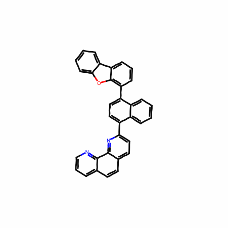 c1cnc2c(c1)ccc1ccc(-c3ccc(-c4cccc5c4oc4ccccc45)c4ccccc34)nc12